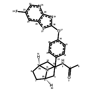 CC(=O)NC1C[C@H]2CC[C@@H](C1)N2Cc1ccc(Oc2nc3ncc(F)cc3s2)cc1